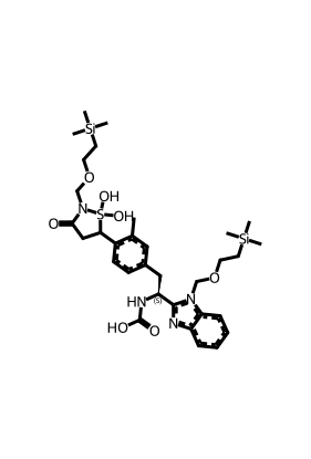 Cc1cc(C[C@H](NC(=O)O)c2nc3ccccc3n2COCC[Si](C)(C)C)ccc1C1CC(=O)N(COCC[Si](C)(C)C)S1(O)O